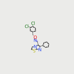 Clc1ccc(CO/N=C/c2c(-c3ccccc3)nc3sccn23)cc1Cl